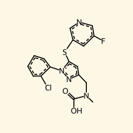 CN(Cc1cc(Sc2cncc(F)c2)n(-c2ccccc2Cl)n1)C(=O)O